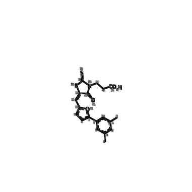 Cc1cc(C)cc(-c2ccc(C=C3SC(=S)N(CCC(=O)O)C3=O)o2)c1